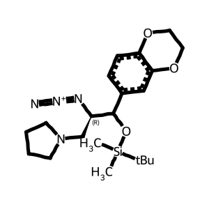 CC(C)(C)[Si](C)(C)OC(c1ccc2c(c1)OCCO2)[C@@H](CN1CCCC1)N=[N+]=[N-]